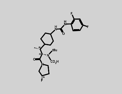 C[C@H](C1CCC(NC(=O)Nc2ccc(F)cc2F)CC1)[C@@H](C(=O)N1CC[C@H](F)C1)N(C(=O)O)C(C)(C)C